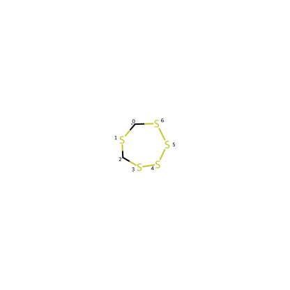 [CH]1SCSSSS1